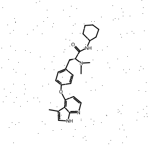 Cc1c[nH]c2nccc(Oc3ccc(C[C@@H](C(=O)NC4CCCCC4)N(C)C)cc3)c12